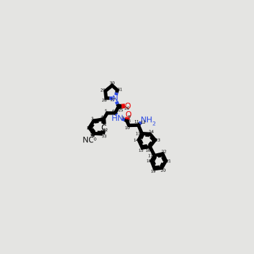 N#Cc1ccc(CC(NC(=O)CC(N)c2ccc(-c3ccccc3)cc2)C(=O)N2CCCC2)cc1